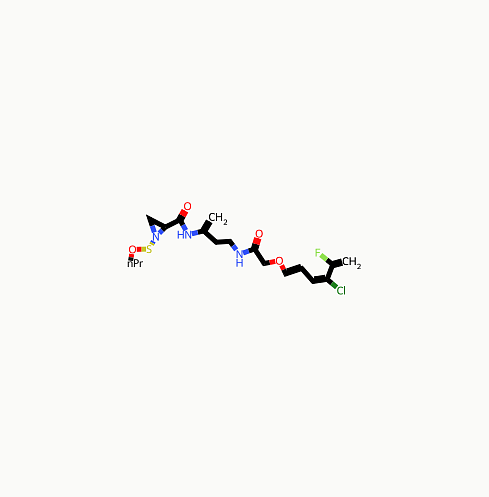 C=C(CCNC(=O)CO/C=C/C=C(/Cl)C(=C)F)NC(=O)C1CN1SOCCC